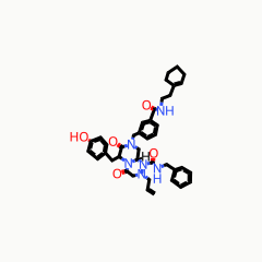 C=CCN1CC(=O)N2C(Cc3ccc(O)cc3)C(=O)N(Cc3cccc(C(=O)NCCC4=CCCCC4)c3)C[C@@H]2N1C(=O)NCc1ccccc1